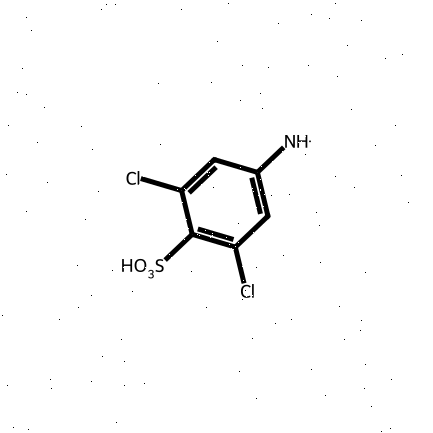 [NH]c1cc(Cl)c(S(=O)(=O)O)c(Cl)c1